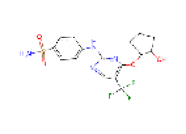 NS(=O)(=O)c1ccc(Nc2ncc(C(F)(F)F)c(OC3CCCC3O)n2)cc1